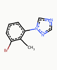 Cc1c(Br)cccc1-n1cncn1